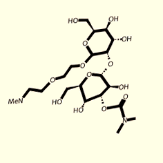 CNCCOCCOC1O[C@@H](CO)[C@@H](O)[C@H](O)[C@@H]1O[C@H]1O[C@H](CO)[C@@H](O)[C@@H](OC(=O)N(C)C)[C@@H]1O